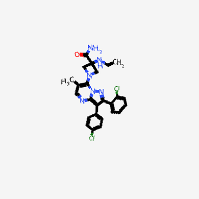 CCNC1(C(N)=O)CN(c2c(C)cnc3c(-c4ccc(Cl)cc4)c(-c4ccccc4Cl)nn23)C1